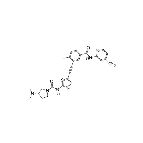 Cc1ccc(C(=O)Nc2cc(C(F)(F)F)ccn2)cc1C#Cc1cnc(NC(=O)N2CC[C@H](N(C)C)C2)s1